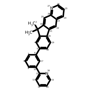 CC1(C)c2cc(-c3cccc(-c4ccccn4)c3)ccc2-c2cc3cccnc3cc21